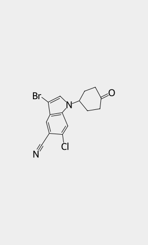 N#Cc1cc2c(Br)cn(C3CCC(=O)CC3)c2cc1Cl